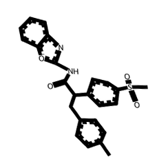 Cc1ccc(CC(C(=O)Nc2nc3ccccc3o2)c2ccc(S(C)(=O)=O)cc2)cc1